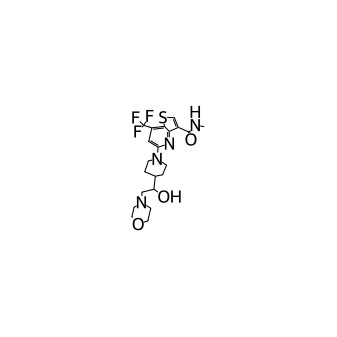 CNC(=O)c1csc2c(C(F)(F)F)cc(N3CCC(C(O)CN4CCOCC4)CC3)nc12